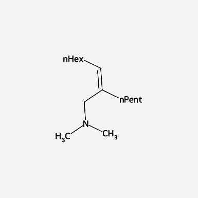 CCCCCCC=C(CCCCC)CN(C)C